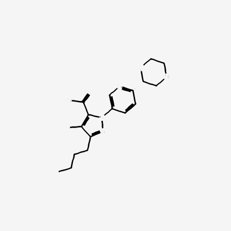 CCCCc1nn(-c2ccc([C@H]3CNCCO3)nc2)c(C(N)=O)c1F